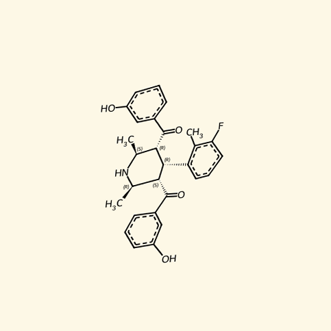 Cc1c(F)cccc1[C@H]1[C@@H](C(=O)c2cccc(O)c2)[C@H](C)N[C@H](C)[C@H]1C(=O)c1cccc(O)c1